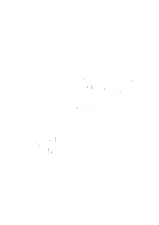 C=CCN1C2CCC1C1CCC2N1C(C1=CCC(C(=O)NN2CCCCC2)C=C1)c1cccc(O)c1